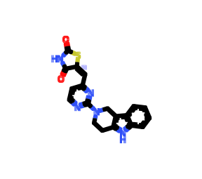 O=C1NC(=O)/C(=C\c2ccnc(N3CCc4[nH]c5ccccc5c4C3)n2)S1